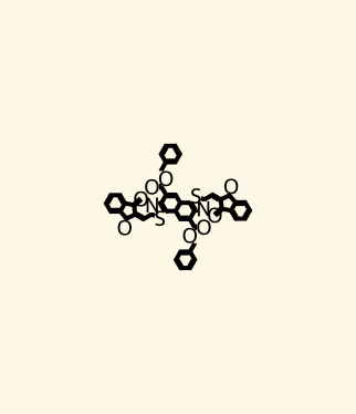 O=C(OCc1ccccc1)C1=CC2c3sc(C=C4C(=O)c5ccccc5C4=O)nc3C(C(=O)OCc3ccccc3)=CC2c2sc(C=C3C(=O)c4ccccc4C3=O)nc21